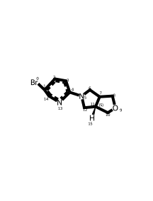 Brc1ccc(N2CC3COC[C@@H]3C2)nc1